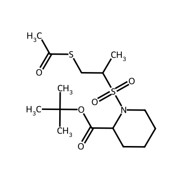 CC(=O)SCC(C)S(=O)(=O)N1CCCCC1C(=O)OC(C)(C)C